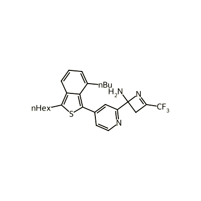 CCCCCCc1sc(-c2ccnc(C3(N)CC(C(F)(F)F)=N3)c2)c2c(CCCC)cccc12